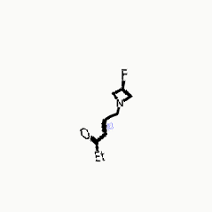 CCC(=O)/C=C/CN1CC(F)C1